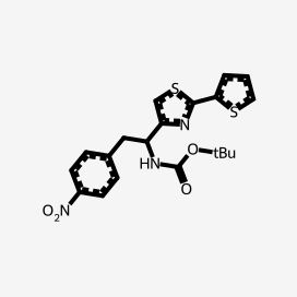 CC(C)(C)OC(=O)NC(Cc1ccc([N+](=O)[O-])cc1)c1csc(-c2cccs2)n1